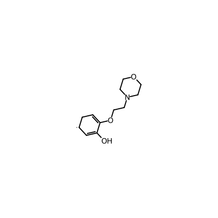 OC1=C[CH]CC=C1OCCN1CCOCC1